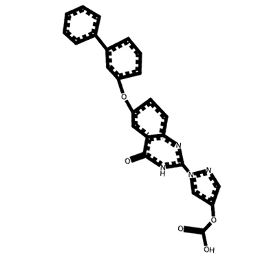 O=C(O)Oc1cnn(-c2nc3ccc(Oc4cccc(-c5ccccc5)c4)cc3c(=O)[nH]2)c1